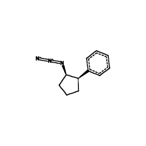 [N-]=[N+]=N[C@@H]1CCC[C@@H]1c1ccccc1